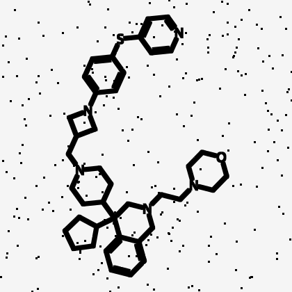 c1ccc2c(c1)CN(CCN1CCOCC1)CC2(C1CCCC1)C1CCN(CC2CN(c3ccc(Sc4ccncc4)cc3)C2)CC1